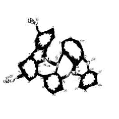 CC(C)(C)c1ccc2c(c1)c1cc(C(C)(C)C)cc3c1n2B1c2cccc4c2N(c2ccccc2O4)c2cccc-3c21